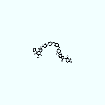 CC(=O)c1c(C)c2cnc(Nc3ccc(N4CCN(Cc5ccc(CN6CCC(F)(c7ccc8c(c7)CN(C7CCC(=O)NC7=O)C8=O)CC6)cc5)CC4)cn3)nc2n(C2CCCC2)c1=O